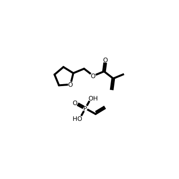 C=C(C)C(=O)OCC1CCCO1.C=CP(=O)(O)O